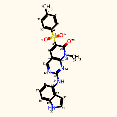 Cc1ccc(S(=O)(=O)c2cc3cnc(Nc4cccc5[nH]ccc45)nc3n(C)c2=O)cc1